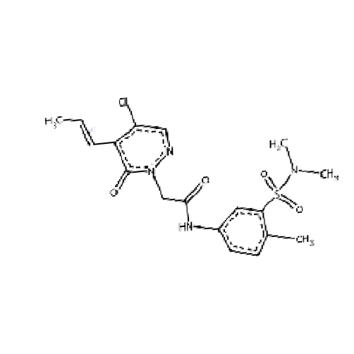 C/C=C/c1c(Cl)cnn(CC(=O)Nc2ccc(C)c(S(=O)(=O)N(C)C)c2)c1=O